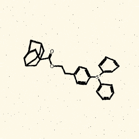 O=C(OCCc1ccc([S+](c2ccccc2)c2ccccc2)cc1)C12CC3CC(CC(C3)C1)C2